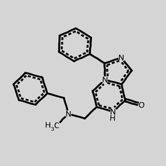 CN(Cc1ccccc1)Cc1cn2c(-c3ccccc3)ncc2c(=O)[nH]1